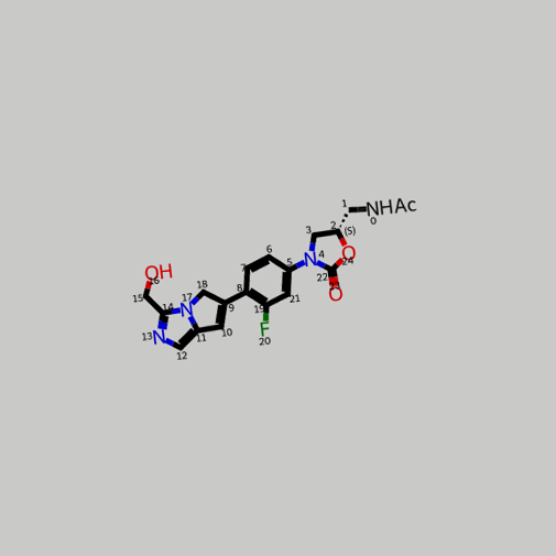 CC(=O)NC[C@H]1CN(c2ccc(C3=Cc4cnc(CO)n4C3)c(F)c2)C(=O)O1